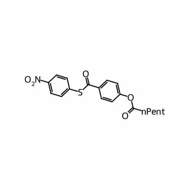 CCCCCC(=O)Oc1ccc(C(=O)Sc2ccc([N+](=O)[O-])cc2)cc1